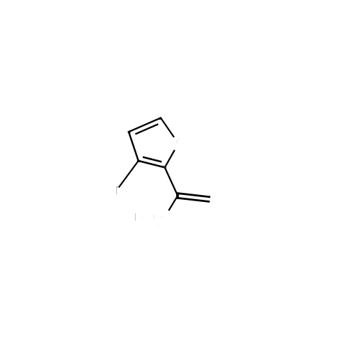 CCOC(=O)C(=O)c1sccc1I